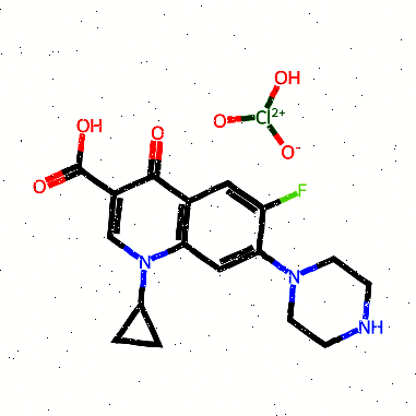 O=C(O)c1cn(C2CC2)c2cc(N3CCNCC3)c(F)cc2c1=O.[O-][Cl+2]([O-])O